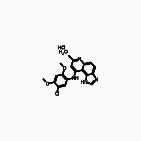 COc1cc(OC)c(Nc2cc(C)nc3ccc4nc[nH]c4c23)cc1Cl.Cl.O